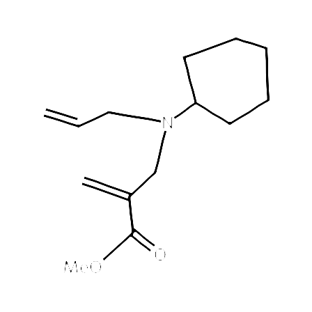 C=CCN(CC(=C)C(=O)OC)C1CCCCC1